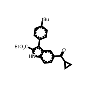 CCOC(=O)c1[nH]c2ccc(C(=O)C3CC3)cc2c1-c1ccc(C(C)(C)C)cc1